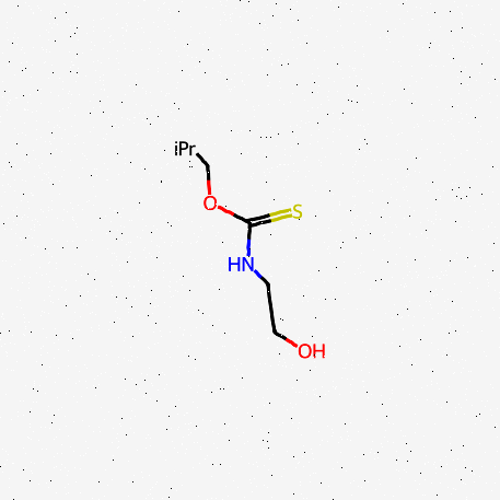 CC(C)COC(=S)NCCO